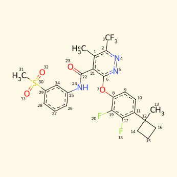 Cc1c(C(F)(F)F)nnc(Oc2ccc(C3(C)CCC3)c(F)c2F)c1C(=O)Nc1cccc(S(C)(=O)=O)c1